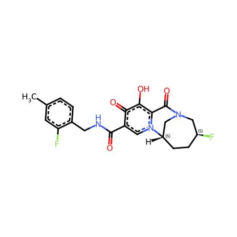 Cc1ccc(CNC(=O)c2cn3c(c(O)c2=O)C(=O)N2C[C@@H](F)CC[C@H]3C2)c(F)c1